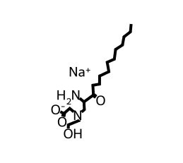 CCCCCCCCCCCC(=O)C(N)CN(CCO)CC(=O)[O-].[Na+]